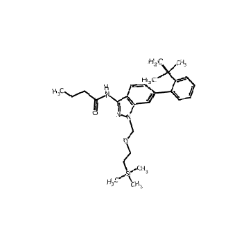 CCCC(=O)Nc1nn(COCC[Si](C)(C)C)c2cc(-c3ccccc3C(C)(C)C)ccc12